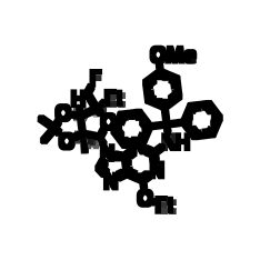 CCOc1nc(NC(c2ccccc2)(c2ccccc2)c2ccc(OC)cc2)nc2c1ncn2[C@@H]1O[C@@](CC)(CF)[C@H]2OC(C)(C)O[C@]21C